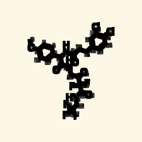 COc1ccc(C(NC(=O)CCc2ccc(Cl)c(Cl)c2)C(=O)NCC(=O)C(F)(F)C(=O)NCC(F)(F)F)cc1